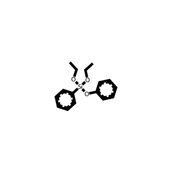 CCO[Si](OCC)(Oc1ccccc1)c1ccccc1